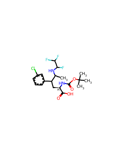 CC(NC(F)C(F)F)C(C[C@@H](NC(=O)OC(C)(C)C)C(=O)O)c1cccc(Cl)c1